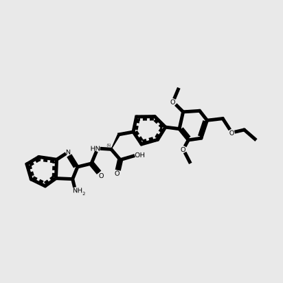 CCOCC1=CC(OC)=C(c2ccc(C[C@H](NC(=O)C3=Nc4ccccc4C3N)C(=O)O)cc2)C(OC)C1